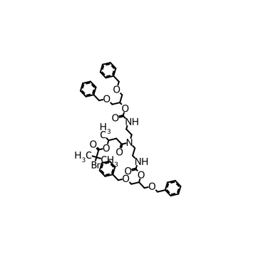 CC(CC(=O)N(CCNC(=O)OC(COCc1ccccc1)COCc1ccccc1)CCNC(=O)OC(COCc1ccccc1)COCc1ccccc1)OC(=O)C(C)(C)Br